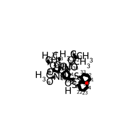 CCOC(=O)C(NC(C)=O)(C(=O)OCC)[C@H]1C[C@](O)(C(Sc2ccccc2)Sc2ccccc2)C[C@@H]1NC(=O)OC(C)(C)C